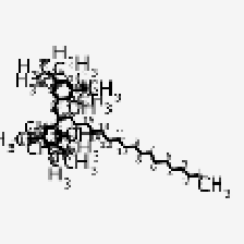 CCCCCCCCCCCCCCCCCCC(Cc1cc(C(C)(C)C)cc(C(C)(C)C)c1O)c1cc(C(C)(C)C)cc(C(C)(C)C)c1O